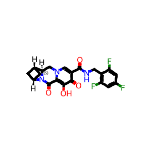 O=C(NCc1c(F)cc(F)cc1F)c1cn2c(c(O)c1=O)C(=O)N1[C@H]3C[C@H](C3)[C@H]1C2